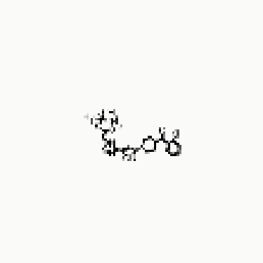 CC(C)(C)OC(=O)Cn1nnc(-c2cc(N3CCC(C(=O)c4ccccc4Cl)CC3)no2)n1